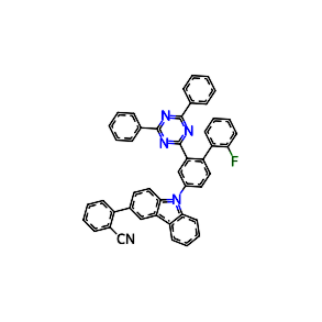 N#Cc1ccccc1-c1ccc2c(c1)c1ccccc1n2-c1ccc(-c2ccccc2F)c(-c2nc(-c3ccccc3)nc(-c3ccccc3)n2)c1